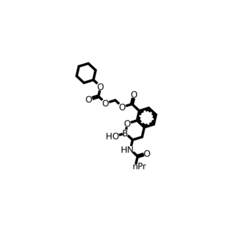 CCCC(=O)NC1Cc2cccc(C(=O)OCOC(=O)OC3CCCCC3)c2OB1O